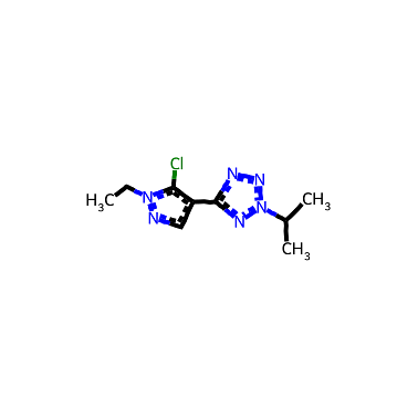 CCn1ncc(-c2nnn(C(C)C)n2)c1Cl